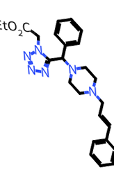 CCOC(=O)Cn1nnnc1C(c1ccccc1)N1CCN(C/C=C/c2ccccc2)CC1